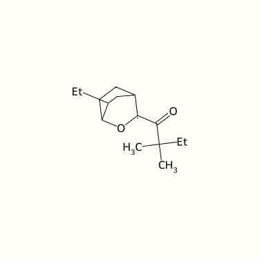 [CH2]CC(C)(C)C(=O)[C]1OC2CCC1CC2CC